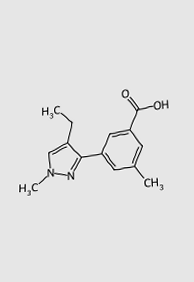 CCc1cn(C)nc1-c1cc(C)cc(C(=O)O)c1